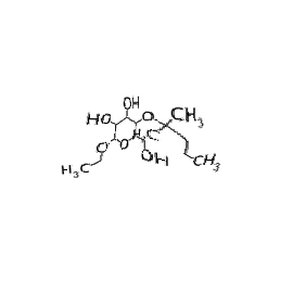 CCCC(C)(C)OC1C(CO)OC(OCC)C(O)C1O